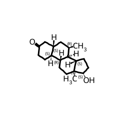 C[C@@H]1C[C@H]2CC(=O)CC[C@@H]2[C@H]2CC[C@]3(C)[C@@H](O)CC[C@H]3[C@@H]21